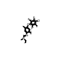 CCN(C)C=Nc1cc(C)c(Oc2c(F)c(C)c(Cl)c(F)c2F)cc1C